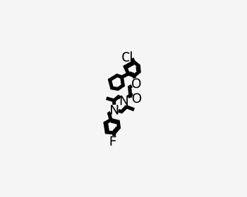 CC1CN(C(=O)COc2ccc(Cl)cc2C2CCCCC2)C(C)CN1Cc1ccc(F)cc1